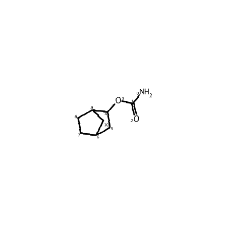 NC(=O)OC1CC2CCC1C2